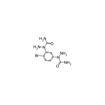 NC(=O)N(N)c1ccc(Br)c(N(N)C(N)=O)c1